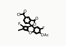 CC(=O)Oc1cc2c(cc1F)C1(OC(=O)c3cc(C(=O)Cl)ccc31)c1cc(F)c(C)cc1O2